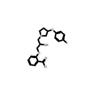 CCC(=O)c1ccccc1OCC(O)CN1CCC(Oc2ccc(F)cc2)C1